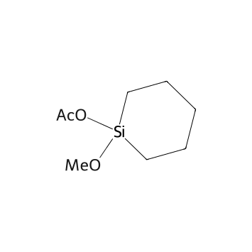 CO[Si]1(OC(C)=O)CCCCC1